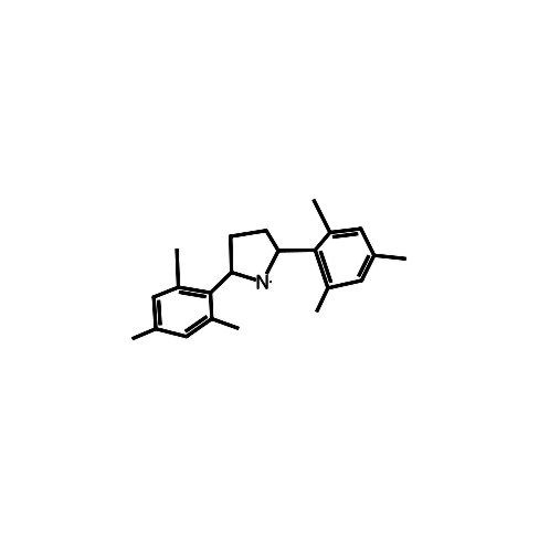 Cc1cc(C)c(C2CCC(c3c(C)cc(C)cc3C)[N]2)c(C)c1